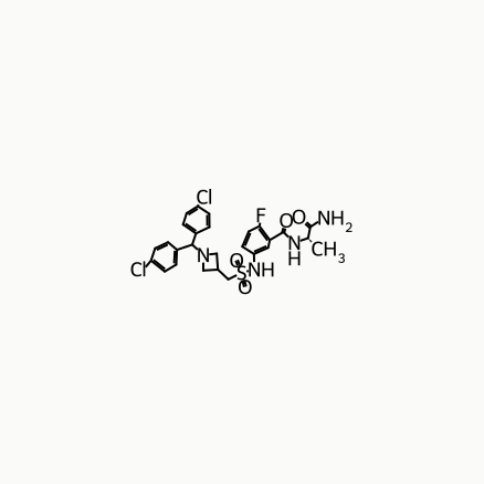 C[C@H](NC(=O)c1cc(NS(=O)(=O)CC2CN(C(c3ccc(Cl)cc3)c3ccc(Cl)cc3)C2)ccc1F)C(N)=O